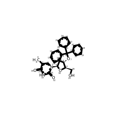 Cc1cn([C@H]2C[C@H](OC(c3ccccc3)(c3ccccc3)c3ccccc3)[C@@H](CO)O2)c(=O)[nH]c1=O